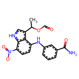 CC(OC=O)c1c[nH]c2c([N+](=O)[O-])ccc(Nc3cccc(C(N)=O)c3)c12